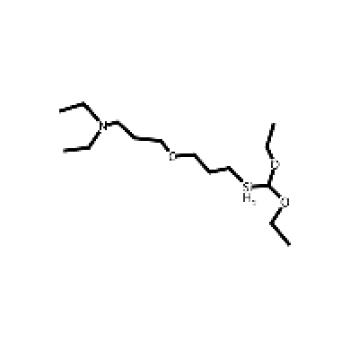 CCOC(OCC)[SiH2]CCCOCCCN(CC)CC